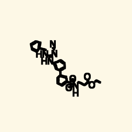 CCOC(=O)CCNS(=O)(=O)c1cccc(-c2cccc(NC(=NC#N)NCc3ccccc3)c2)c1